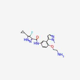 Cn1nccc1-c1cc(NC(=O)c2n[nH]c(C3CC3)c2F)ccc1OCCN